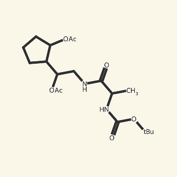 CC(=O)OC1CCCC1C(CNC(=O)C(C)NC(=O)OC(C)(C)C)OC(C)=O